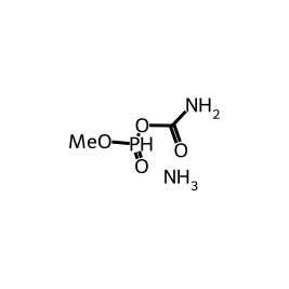 CO[PH](=O)OC(N)=O.N